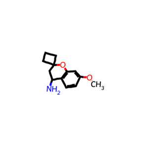 COc1ccc2c(c1)OC1(CCC1)CC2N